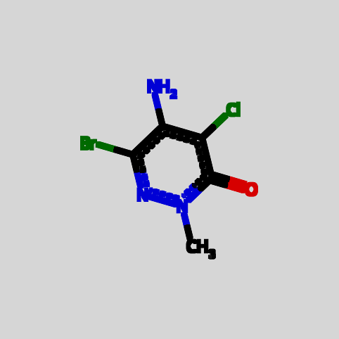 Cn1nc(Br)c(N)c(Cl)c1=O